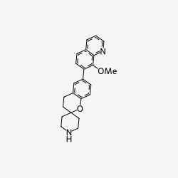 COc1c(-c2ccc3c(c2)CCC2(CCNCC2)O3)ccc2cccnc12